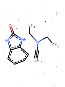 C#CN(CC)CC.O=c1[nH]c2ccccc2[nH]1